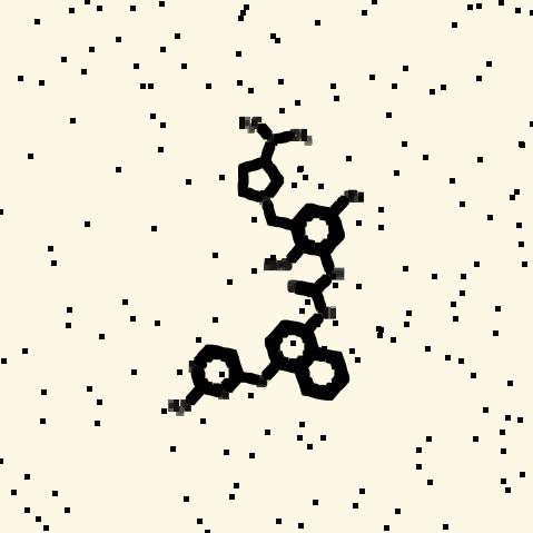 COc1c(CN2CCC(N(C)C)C2)cc(C(C)(C)C)cc1NC(=O)Nc1ccc(Oc2ccnc(N)n2)c2ccccc12